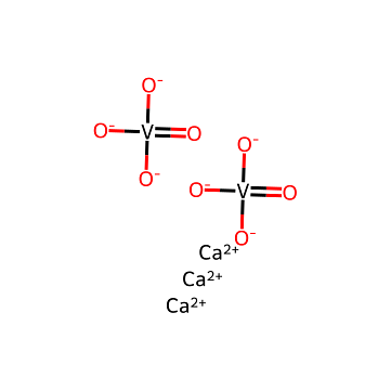 [Ca+2].[Ca+2].[Ca+2].[O]=[V]([O-])([O-])[O-].[O]=[V]([O-])([O-])[O-]